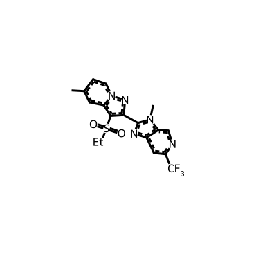 CCS(=O)(=O)c1c(-c2nc3cc(C(F)(F)F)ncc3n2C)nn2ccc(C)cc12